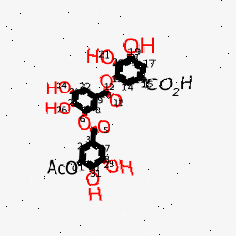 CC(=O)Oc1cc(C(=O)Oc2cc(C(=O)Oc3cc(C(=O)O)cc(O)c3O)cc(O)c2O)cc(O)c1O